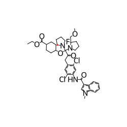 CCOC(=O)C1CCC(OC(C(=O)Cc2cc(Cl)c(NC(=O)c3cn(C)c4ccccc34)cc2Cl)(N2CCCC2)N2CCC[C@]2(F)COC)CC1